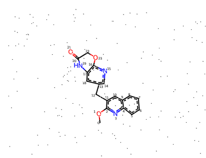 COc1nc2ccccc2cc1Cc1cnc2c(c1)NC(=O)CO2